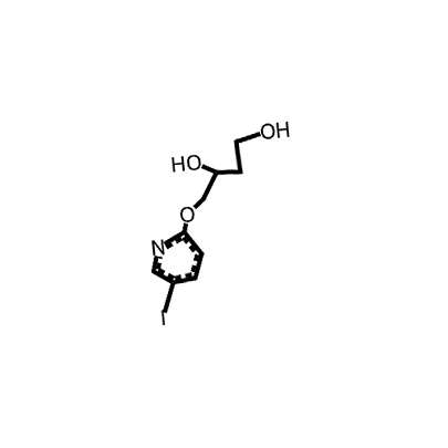 OCCC(O)COc1ccc(I)cn1